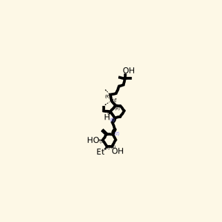 C=C1/C(=C\C=C2/CCC[C@]3(C)[C@@H]([C@H](C)CCCC(C)(C)O)CC[C@@H]23)C[C@@H](O)[C@@H](CC)[C@@H]1O